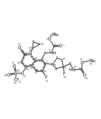 CC(C)(C)OC(=O)NCc1c(N2CCC(F)(CNC(=O)OC(C)(C)C)C2)c(F)cc2c(OS(=O)(=O)C(F)(F)F)cc(=O)n(C3CC3)c12